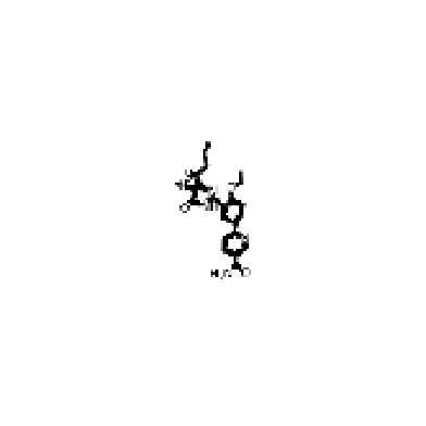 CCCc1nn(C)c2c(=O)[nH]c(-c3cc(-c4ccc(C(N)=O)cn4)ccc3OCC)nc12